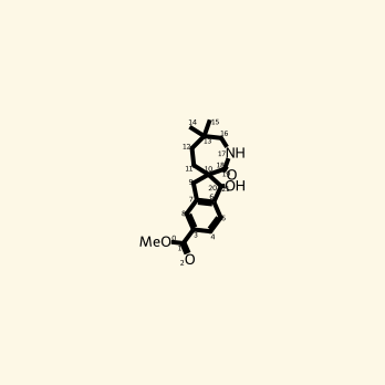 COC(=O)c1ccc2c(c1)CC1(CCC(C)(C)CNC1=O)C2O